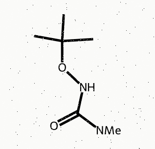 CNC(=O)NOC(C)(C)C